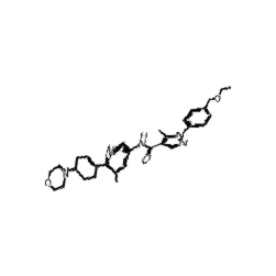 CCOCc1ccc(-n2ncc(C(=O)Nc3cnc(C4=CCC(N5CCOCC5)CC4)c(C)c3)c2C)cc1